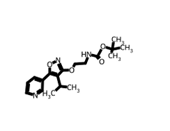 CC(C)c1c(OCCNC(=O)OC(C)(C)C)noc1-c1cccnc1